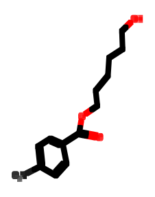 O=C(OCCCCCCO)c1ccc([N+](=O)[O-])cc1